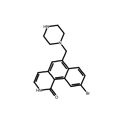 O=c1[nH]ccc2cc(CN3CCNCC3)c3ccc(Br)cc3c12